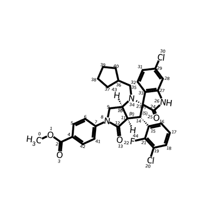 COC(=O)c1ccc(N2C[C@@H]3[C@H](C2=O)[C@@H](c2cccc(Cl)c2F)[C@@]2(C(=O)Nc4cc(Cl)ccc42)N3CC2CCCC2)cc1